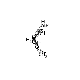 C=C(O)COCCOCCNC(=O)CN(C)C(=O)COCC(=O)Nc1nc2c(s1)C[C@@H](NCCC)CC2